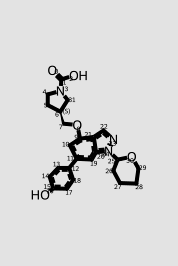 O=C(O)N1CC[C@H](COc2cc(-c3ccc(O)cc3)cc3c2cnn3C2CCCCO2)C1